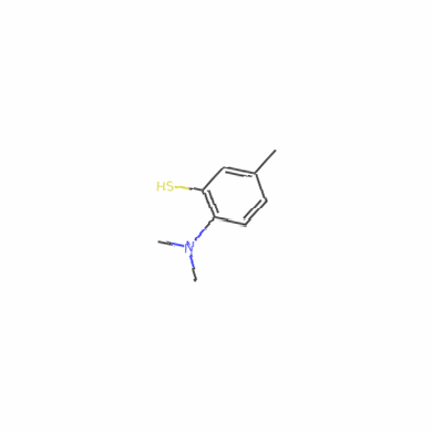 Cc1ccc(N(C)C)c(S)c1